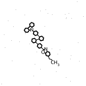 CCCc1ccc2nc(-c3ccc(-c4ccccc4-c4ccccc4-c4ccc(-n5c6ccccc6c6ccccc65)cc4)cc3)oc2c1